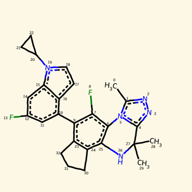 Cc1nnc2n1-c1c(F)c(-c3cc(F)cc4c3ccn4C3CC3)c3c(c1NC2(C)C)CCC3